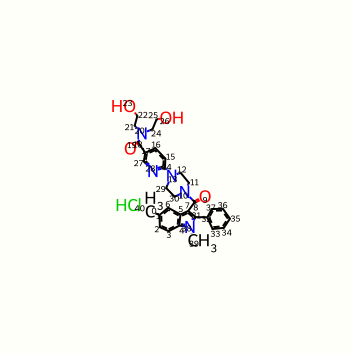 Cc1ccc2c(c1)c(C(=O)N1CCN(c3ccc(C(=O)N(CCO)CCO)cn3)CC1)c(-c1ccccc1)n2C.Cl